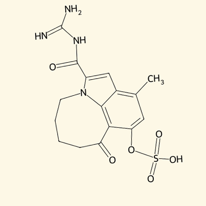 Cc1cc(OS(=O)(=O)O)c2c3c1cc(C(=O)NC(=N)N)n3CCCCC2=O